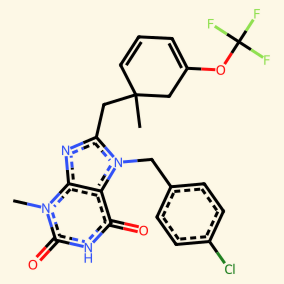 Cn1c(=O)[nH]c(=O)c2c1nc(CC1(C)C=CC=C(OC(F)(F)F)C1)n2Cc1ccc(Cl)cc1